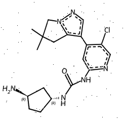 CC1(C)Cc2c(-c3cc(NC(=O)N[C@@H]4CC[C@@H](N)C4)ncc3Cl)cnn2C1